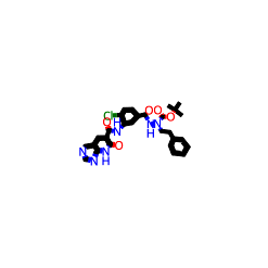 CC(C)(C)OC(=O)N(CCc1ccccc1)NC(=O)c1ccc(Cl)c(NC(=O)c2cc3cncnc3[nH]c2=O)c1